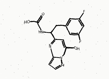 O=C(O)NC(Cc1cc(F)cc(F)c1)c1cc(O)n2nccc2n1